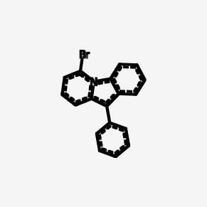 Brc1cccc2c(-c3ccccc3)c3ccccc3n12